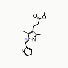 COC(=O)CCC1=C(C)/C(=C/C2=CCC=N2)N=C1C